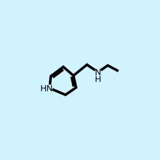 CCNCC1=CCNC=C1